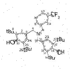 CC(C)(C)c1cc(CN(Cc2cccc(C(F)(F)F)c2)Cc2cc(C(C)(C)C)c(O)c(C(C)(C)C)c2)cc(C(C)(C)C)c1O